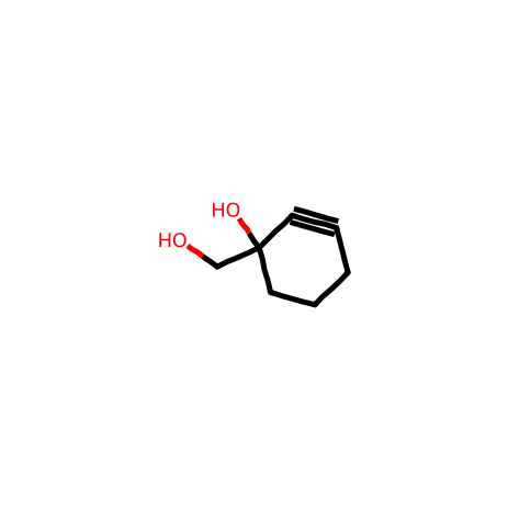 OCC1(O)C#CCCC1